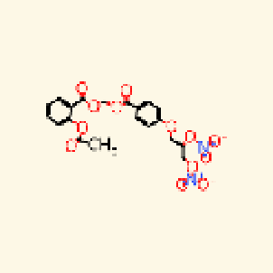 CC(=O)Oc1ccccc1C(=O)OCOC(=O)c1ccc(OCC(CO[N+](=O)[O-])O[N+](=O)[O-])cc1